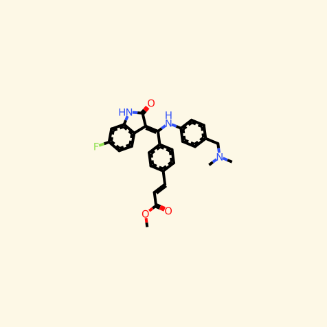 COC(=O)C=Cc1ccc(/C(Nc2ccc(CN(C)C)cc2)=C2/C(=O)Nc3cc(F)ccc32)cc1